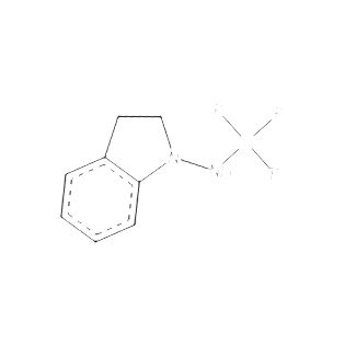 FS(F)(F)NN1CCc2ccccc21